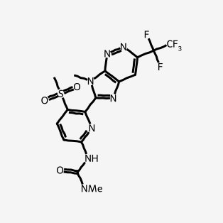 CNC(=O)Nc1ccc(S(C)(=O)=O)c(-c2nc3cc(C(F)(F)C(F)(F)F)nnc3n2C)n1